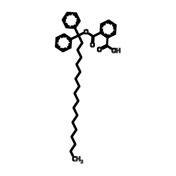 CCCCCCCCCCCCCCCCCC(OC(=O)c1ccccc1C(=O)O)(c1ccccc1)c1ccccc1